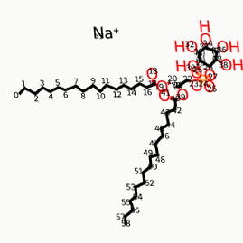 CCCCCCCCCCCCCCCCCC(=O)OC[C@H](COP(=O)([O-])OC1[C@H](O)[C@H](O)C(O)[C@H](O)[C@H]1O)OC(=O)CCCCCCCCCCCCCCCCC.[Na+]